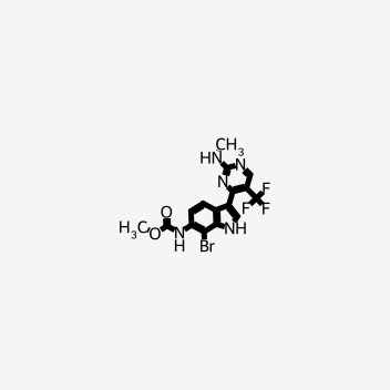 CNc1ncc(C(F)(F)F)c(-c2c[nH]c3c(Br)c(NC(=O)OC)ccc23)n1